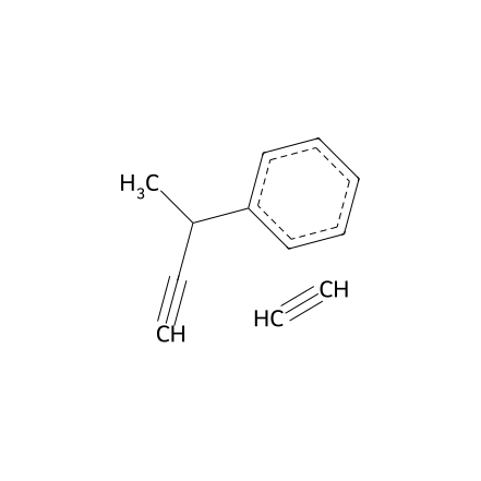 C#C.C#CC(C)c1ccccc1